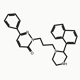 O=c1ccc(-c2ccccc2)nn1CCCN1CCNCC1c1cccc2ccccc12